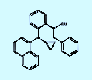 CCC(C)[C](Cc1ccccc1)c1ccccc1C(c1cccc2ccccc12)C1CC1